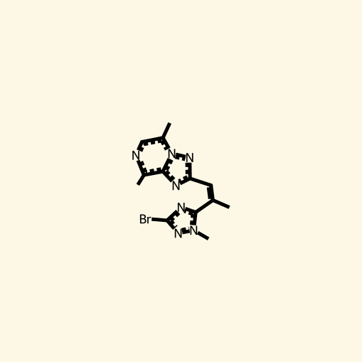 CC(=Cc1nc2c(C)ncc(C)n2n1)c1nc(Br)nn1C